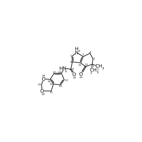 CC1(C)CCc2[nH]cc(C(=O)Nc3ccc4c(c3)OCOC4)c2C1=O